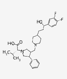 CC(C)[C@H](C(=O)O)N1CC(CN2CCC(CCC(O)c3ccc(F)c(F)c3)CC2)C(c2ccccc2)C1